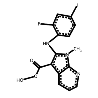 Cn1c(Nc2ccc(I)cc2F)c(C(=O)OO)c2cccnc21